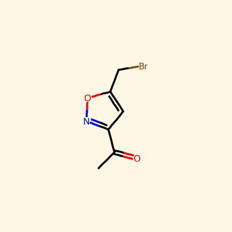 CC(=O)c1cc(CBr)on1